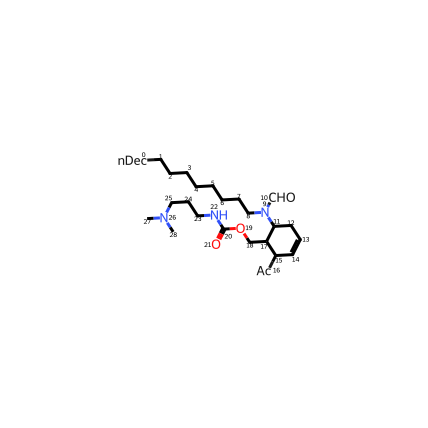 CCCCCCCCCCCCCCCCCCN(C=O)C1CC=CC(C(C)=O)C1COC(=O)NCCCN(C)C